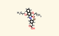 CCCOc1c2c(c(OCCC)c3ccccc13)C(=O)N(c1ccc(CC(=O)O)cc1Br)C2